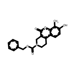 Cc1c(O)ccc2c3c(c(=O)oc12)CN(C(=O)OCc1ccccc1)CC3